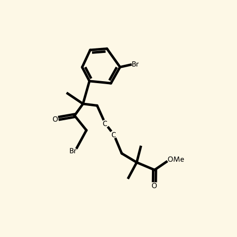 COC(=O)C(C)(C)CCCCC(C)(C(=O)CBr)c1cccc(Br)c1